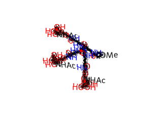 COC1CCC(C(=O)NCCCCC(C(=O)NCCCCCC(=O)NCCOCCOC2OC(CO)C(O)C(O)C2NC(C)=O)N(CC(=O)NCCCCCC(=O)NCCOCCOC2OC(CO)C(O)C(O)C2NC(C)=O)CC(=O)NCCCCCC(=O)NCCOCCOC2OC(CO)C(O)C(O)C2NC(C)=O)CC1